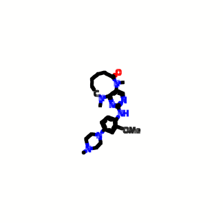 COc1cc(N2CCN(C)CC2)ccc1Nc1ncc2c(n1)N(C)CCCCCC(=O)N2C